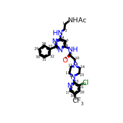 CC(=O)NCCNc1cc(NC(=O)CN2CCN(c3ncc(C(F)(F)F)cc3Cl)CC2)nc(-c2ccccc2)n1